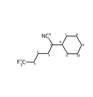 N#CC(CCCC(F)(F)F)C1CCCCC1